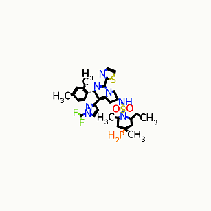 CCC1CC(C)(P)CC(C)N1S(=O)(=O)NC1CC2=C(c3ccn(C(F)F)n3)[C@H](c3ccc(C)cc3C)N=C(c3nccs3)N2C1